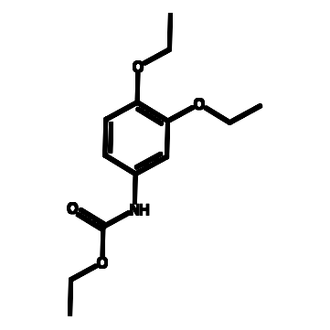 CCOC(=O)Nc1ccc(OCC)c(OCC)c1